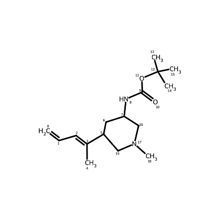 C=C/C=C(\C)C1CC(NC(=O)OC(C)(C)C)CN(C)C1